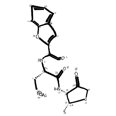 CCC(C)C[C@H](NC(=O)c1cc2ccccc2o1)C(=O)N[C@@H]1C(=O)CO[C@@H]1C